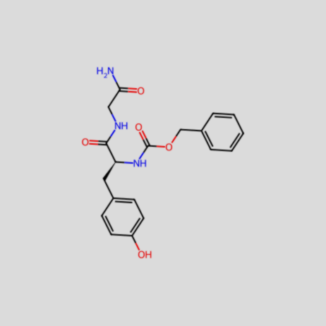 NC(=O)CNC(=O)[C@H](Cc1ccc(O)cc1)NC(=O)OCc1ccccc1